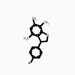 Cc1cc(C)c2c(c1C)OCC2c1ccc(Br)cc1